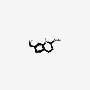 CNC1CCc2ccc(CC(C)C)cc2N1